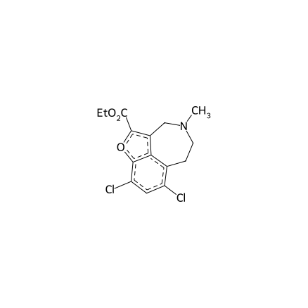 CCOC(=O)c1oc2c(Cl)cc(Cl)c3c2c1CN(C)CC3